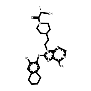 C[C@H](O)C(=O)N1CCC(CCn2c(Sc3cc4c(cc3Br)CCCC4)nc3c(N)ncnc32)CC1